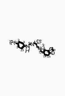 CC(C)c1ccc(N/C=N/C=C(\CNCc2ccc3c(c2)OCO3)C(F)(F)F)cc1